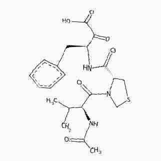 CC(=O)N[C@H](C(=O)N1CSC[C@H]1C(=O)N[C@@H](Cc1ccccc1)C(=O)C(=O)O)C(C)C